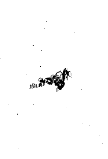 CC(C)(C)OC(=O)N1CCC(N(Cc2cc(-c3ccnc(Cl)n3)ccc2F)S(C)(=O)=O)CC1